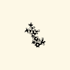 CC(=O)C(C#N)(Cc1ccccc1)OC[C@H]1O[C@@H](n2cnc3c(N(C(=O)OC(C)(C)C)C(=O)OC(C)(C)C)nc(Cl)nc32)[C@@H]2OC(C)(C)O[C@@H]21